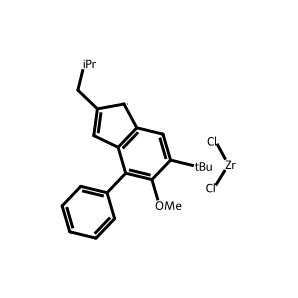 COc1c(C(C)(C)C)cc2c(c1-c1ccccc1)C=C(CC(C)C)[CH]2.[Cl][Zr][Cl]